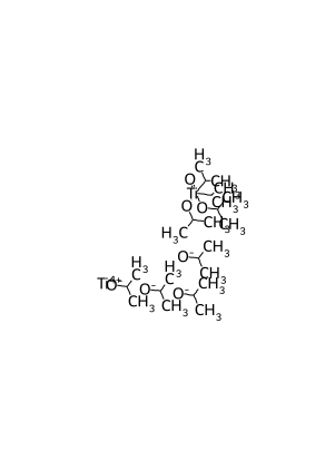 CC(C)[O-].CC(C)[O-].CC(C)[O-].CC(C)[O-].CC(C)[O][Ti](=[O])([O]C(C)C)([CH](C)C)[CH](C)C.[Ti+4]